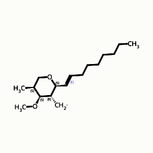 [CH2][C@@H]1[C@@H](OC)[C@@H](C)CO[C@H]1/C=C/CCCCCCC